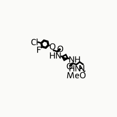 COCN1CCC(C(=O)NC23CC(NC(=O)COc4ccc(Cl)c(F)c4)(C2)C3)N1